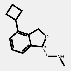 CNC[C@H]1OCc2c(C3CCC3)cccc21